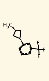 C[C@H]1C[C@@H](c2cccc(C(F)(F)F)c2)C1